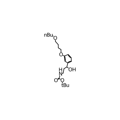 CCCCOCCCCOc1cccc(C(O)CCNC(=O)OC(C)(C)C)c1